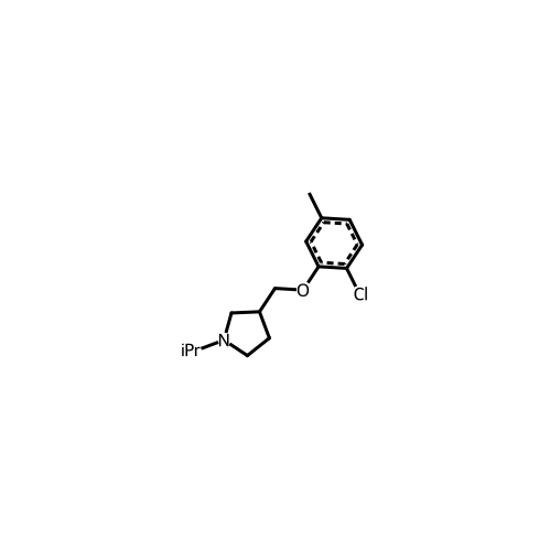 Cc1ccc(Cl)c(OCC2CCN(C(C)C)C2)c1